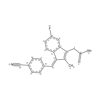 CC1=C(CC(=O)O)c2cc(F)ccc2/C1=C\c1ccc(C#N)cc1